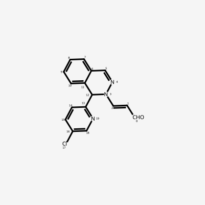 O=CC=CN1N=Cc2ccccc2C1c1ccc(Cl)cn1